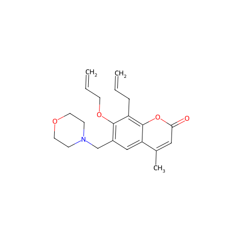 C=CCOc1c(CN2CCOCC2)cc2c(C)cc(=O)oc2c1CC=C